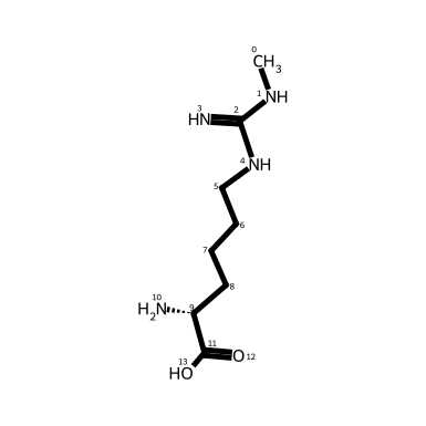 CNC(=N)NCCCC[C@@H](N)C(=O)O